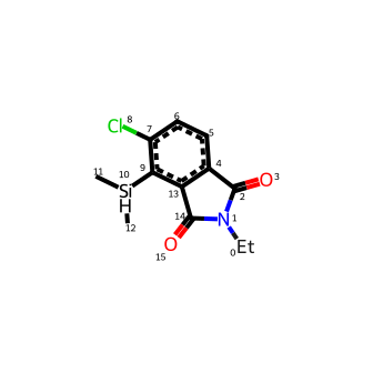 CCN1C(=O)c2ccc(Cl)c([SiH](C)C)c2C1=O